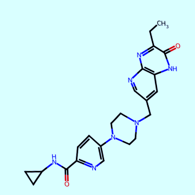 CCc1nc2ncc(CN3CCN(c4ccc(C(=O)NC5CC5)nc4)CC3)cc2[nH]c1=O